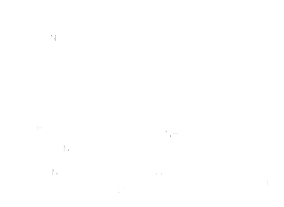 Cn1ncc(Br)c1-c1cc(NC(=O)c2ccc(F)cc2)ccc1OCCC1CCCN1